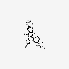 COc1ccc2oc(-c3ccc(S(C)(=O)=O)cc3)c(-c3ccc(F)cc3)c(=O)c2c1